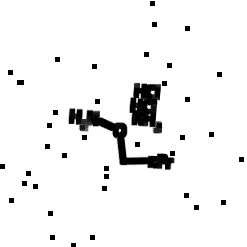 CCCCON.Cl.Cl.N